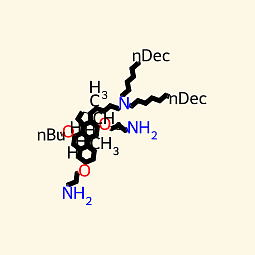 CCCCCCCCCCCCCCCCN(CCCCCCCCCCCCCCCC)CCC[C@@H](C)[C@H]1CC[C@H]2[C@@H]3[C@H](OCCCC)C[C@@H]4C[C@H](OCCCN)CC[C@]4(C)[C@H]3C[C@H](OCCCN)[C@]12C